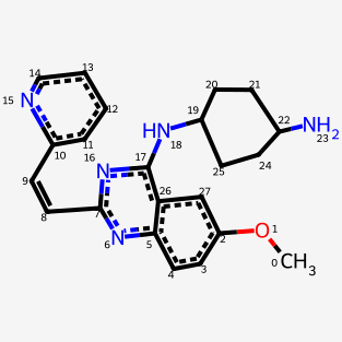 COc1ccc2nc(/C=C\c3ccccn3)nc(NC3CCC(N)CC3)c2c1